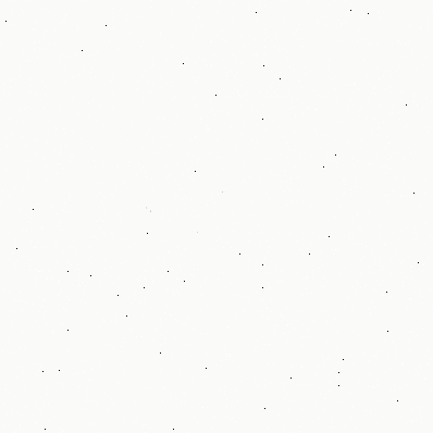 CCCC(NOCC)=C1C(=O)CC(c2ccc(CC)cc2)CC1=O